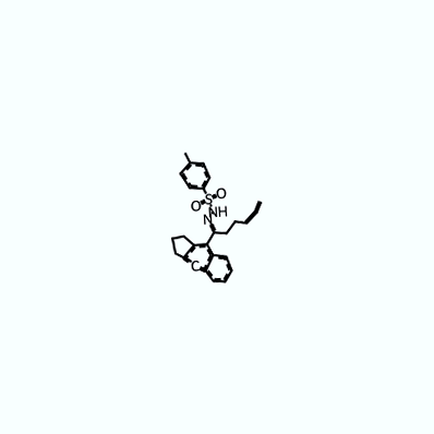 C=C=CCCC(=NNS(=O)(=O)c1ccc(C)cc1)c1c2c(cc3ccccc13)CCC2